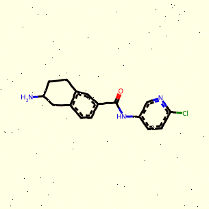 NC1CCc2cc(C(=O)Nc3ccc(Cl)nc3)ccc2C1